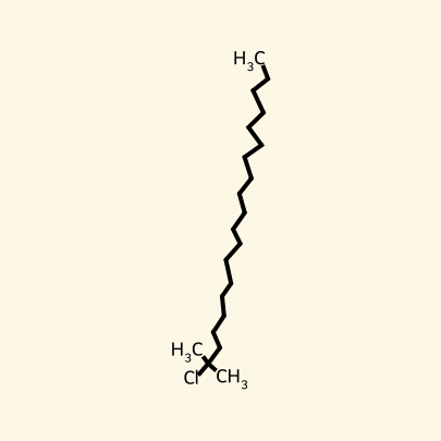 CCCCCCCCCCCCCCCCCCC(C)(C)Cl